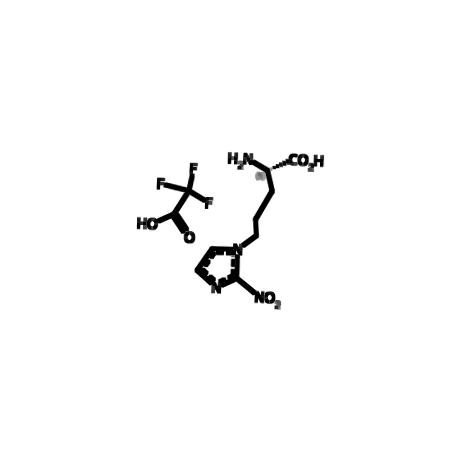 N[C@@H](CCCn1ccnc1[N+](=O)[O-])C(=O)O.O=C(O)C(F)(F)F